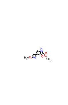 CCOC(=O)c1c[nH]c2ccc(-c3ccc(COC)nc3)cc2c1=O